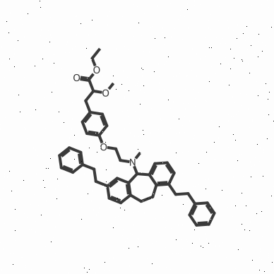 CCOC(=O)C(Cc1ccc(OCCN(C)C2c3cc(CCc4ccccc4)ccc3CCc3c(CCc4ccccc4)cccc32)cc1)OC